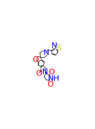 O=C1CCC(N2Cc3cc4c(cc3C2=O)OCC42CCN(Cc3cccc4scnc34)CC2)C(=O)N1